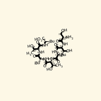 CC[C@H](C)[C@H](NC(=O)[C@@H](NC(=O)[C@@H](NC(=O)[C@@H](NC(=O)[C@@H](NC(=O)[C@@H](NC(=O)[C@@H](N)CO)[C@@H](C)O)[C@@H](C)CC)[C@@H](C)O)[C@@H](C)CC)[C@@H](C)O)C(=O)O